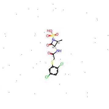 C[C@H]1[C@H](NC(=O)CSc2cc(Cl)ccc2Cl)C(=O)N1S(=O)(=O)O